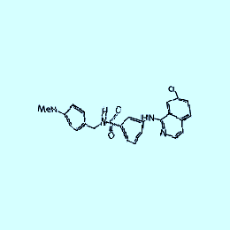 CNc1ccc(CNS(=O)(=O)c2cccc(Nc3nccc4ccc(Cl)cc34)c2)cc1